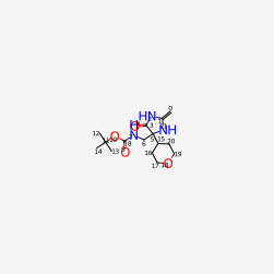 C=C1NC(=O)C(CNC(=O)OC(C)(C)C)(C2CCOCC2)N1